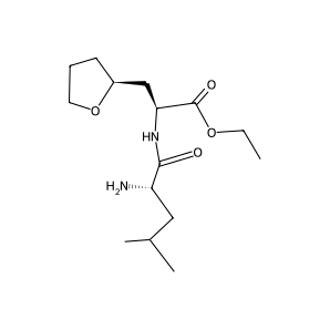 CCOC(=O)[C@H](C[C@@H]1CCCO1)NC(=O)[C@@H](N)CC(C)C